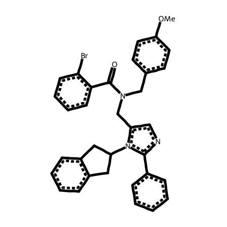 COc1ccc(CN(Cc2cnc(-c3ccccc3)n2C2Cc3ccccc3C2)C(=O)c2ccccc2Br)cc1